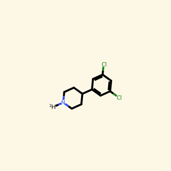 [2H]N1CCC(c2cc(Cl)cc(Cl)c2)CC1